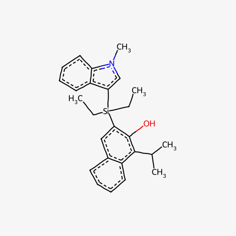 CC[Si](CC)(c1cc2ccccc2c(C(C)C)c1O)c1cn(C)c2ccccc12